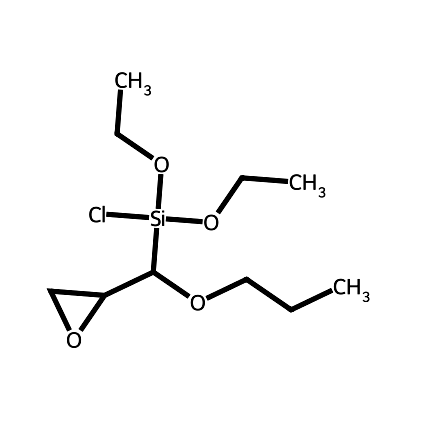 CCCOC(C1CO1)[Si](Cl)(OCC)OCC